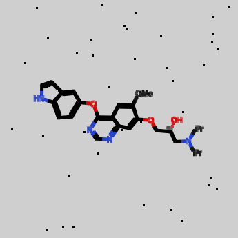 COc1cc2c(Oc3ccc4[nH]ccc4c3)ncnc2cc1OC[C@H](O)CN(C(C)C)C(C)C